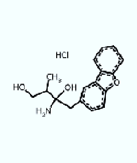 CC(CO)C(N)(O)Cc1ccc2oc3ccccc3c2c1.Cl